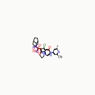 N#Cc1cc(NC(=O)c2c(Cl)c(S(=O)(=O)NC3C4CCC3CC(O)(c3cc(-c5ccccc5)on3)C4)c3n2CCC3)cc(F)n1